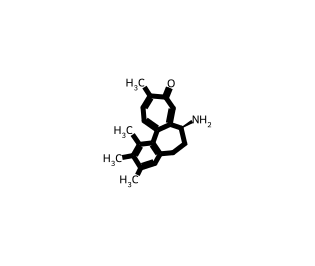 Cc1cc2c(c(C)c1C)-c1ccc(C)c(=O)cc1[C@@H](N)CC2